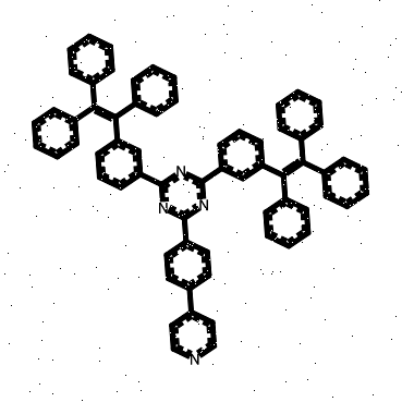 c1ccc(C(=C(c2ccccc2)c2cccc(-c3nc(-c4ccc(-c5ccncc5)cc4)nc(-c4cccc(C(=C(c5ccccc5)c5ccccc5)c5ccccc5)c4)n3)c2)c2ccccc2)cc1